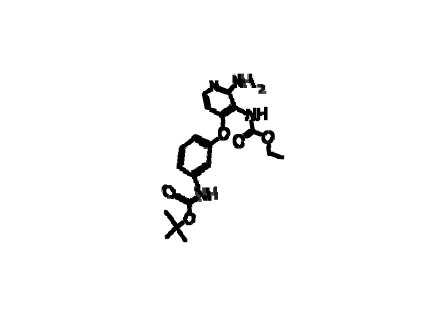 CCOC(=O)Nc1c(Oc2cccc(NC(=O)OC(C)(C)C)c2)ccnc1N